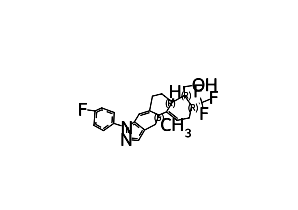 C[C@]12Cc3cnn(-c4ccc(F)cc4)c3C=C1CC[C@H]1C2=CC[C@@H](C(F)(F)F)[C@@H]1CO